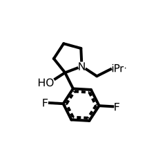 C[C](C)CN1CCCC1(O)c1cc(F)ccc1F